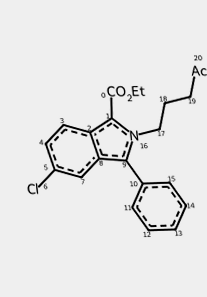 CCOC(=O)c1c2ccc(Cl)cc2c(-c2ccccc2)n1CCCC(C)=O